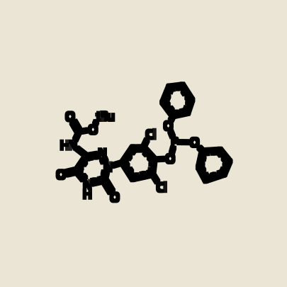 CC(C)(C)OC(=O)Nc1nn(-c2cc(Cl)c(OP(Oc3ccccc3)Oc3ccccc3)c(Cl)c2)c(=O)[nH]c1=O